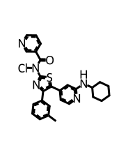 Cc1cccc(-c2nc(N(Cl)C(=O)c3cccnc3)sc2-c2ccnc(NC3CCCCC3)c2)c1